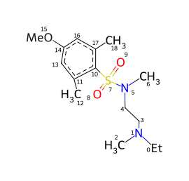 CCN(C)CCN(C)S(=O)(=O)c1c(C)cc(OC)cc1C